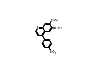 COc1cc2nccc(-c3ccc([N+](=O)[O-])cc3)c2cc1OC